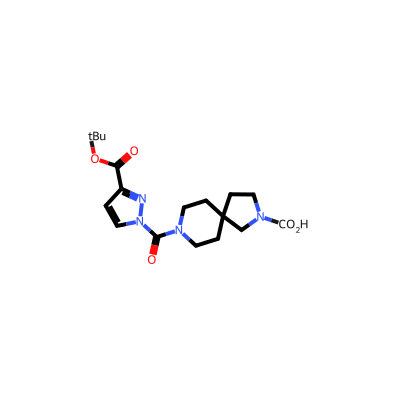 CC(C)(C)OC(=O)c1ccn(C(=O)N2CCC3(CCN(C(=O)O)C3)CC2)n1